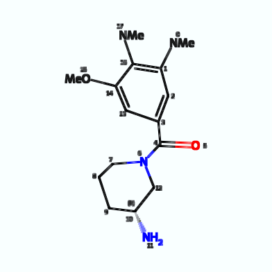 CNc1cc(C(=O)N2CCC[C@@H](N)C2)cc(OC)c1NC